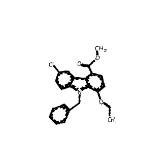 CCOc1ccc(C(=O)OC)c2c3cc(Cl)ccc3n(Cc3ccccc3)c12